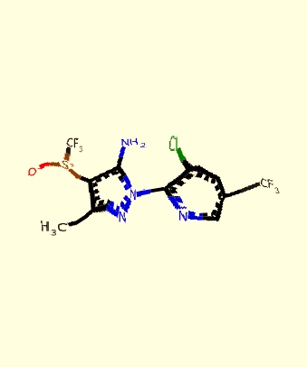 Cc1nn(-c2ncc(C(F)(F)F)cc2Cl)c(N)c1[S+]([O-])C(F)(F)F